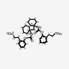 CCCCCCCCCCCCc1ccccc1OC(=O)NC1(CC2(NC(=O)Oc3ccccc3CCCCCCCCCCCC)CCCCC2)CCCCC1